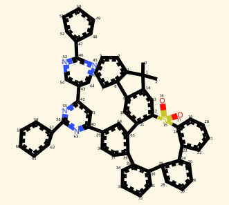 CC1(C)c2ccccc2-c2cc3c(cc21)S(=O)(=O)c1ccccc1-c1ccccc1-c1ccccc1-c1ccc(-c2cc(-c4cnc(-c5ccccc5)nc4)nc(-c4ccccc4)n2)cc1-3